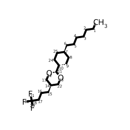 CCCCCCC[C@H]1CC[C@H]([C@H]2OC[C@H](CCCC(F)(F)F)CO2)CC1